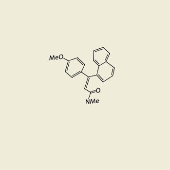 CNC(=O)/C=C(/c1ccc(OC)cc1)c1cccc2ccccc12